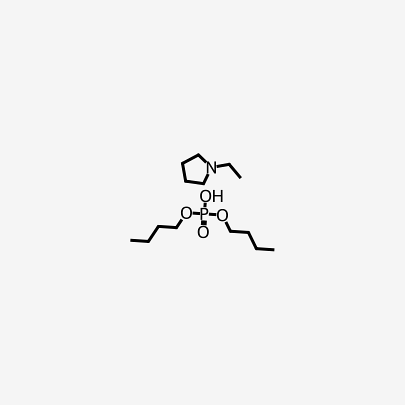 CCCCOP(=O)(O)OCCCC.CCN1CCCC1